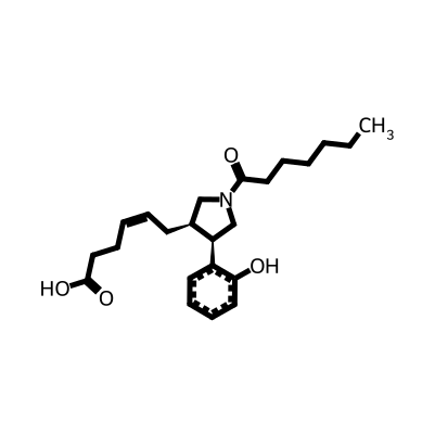 CCCCCCC(=O)N1C[C@H](C/C=C\CCC(=O)O)[C@H](c2ccccc2O)C1